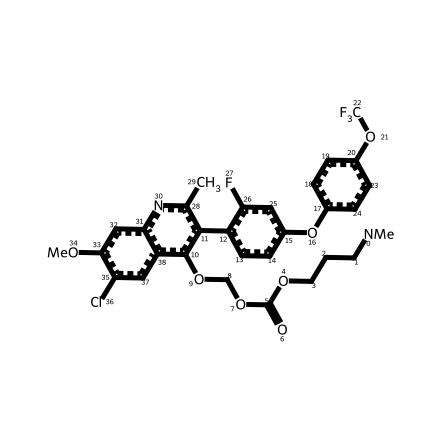 CNCCCOC(=O)OCOc1c(-c2ccc(Oc3ccc(OC(F)(F)F)cc3)cc2F)c(C)nc2cc(OC)c(Cl)cc12